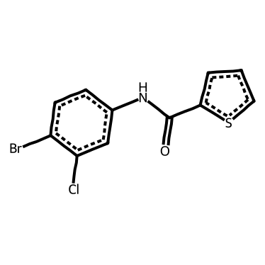 O=C(Nc1ccc(Br)c(Cl)c1)c1cccs1